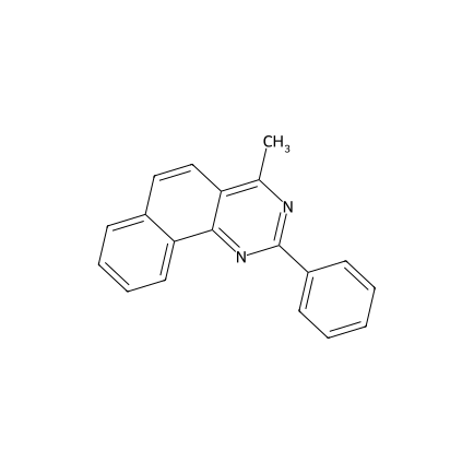 Cc1nc(-c2ccccc2)nc2c1ccc1ccccc12